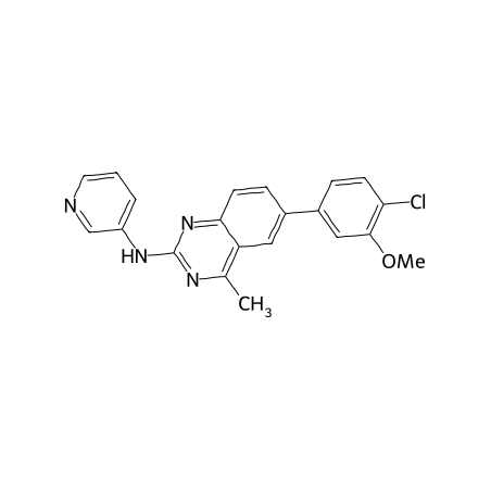 COc1cc(-c2ccc3nc(Nc4cccnc4)nc(C)c3c2)ccc1Cl